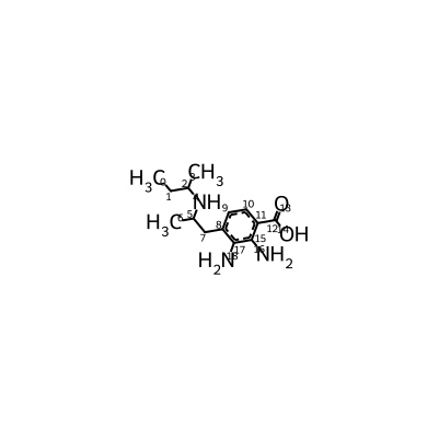 CCC(C)NC(C)Cc1ccc(C(=O)O)c(N)c1N